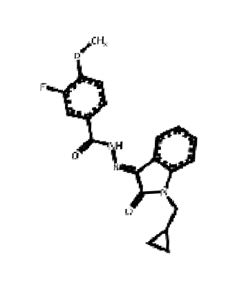 COc1ccc(C(=O)N/N=C2/C(=O)N(CC3CC3)c3ccccc32)cc1F